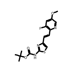 COc1cnc(C=Cc2csc(NC(=O)OC(C)(C)C)n2)c(F)c1